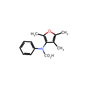 Cc1oc(C)c(N(C(=O)O)c2ccccc2)c1C